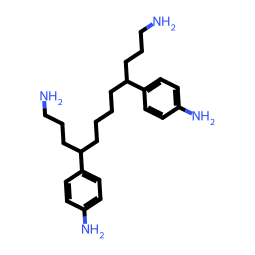 NCCCC(CCCCC(CCCN)c1ccc(N)cc1)c1ccc(N)cc1